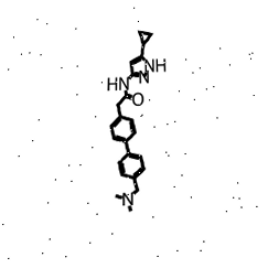 CN(C)Cc1ccc(-c2ccc(CC(=O)Nc3cc(C4CC4)[nH]n3)cc2)cc1